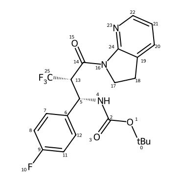 CC(C)(C)OC(=O)N[C@H](c1ccc(F)cc1)[C@@H](C(=O)N1CCc2cccnc21)C(F)(F)F